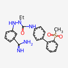 CCN(Nc1cccc(C(=N)N)c1)C(=O)Nc1ccc(-c2ccccc2S(C)(=O)=O)cc1